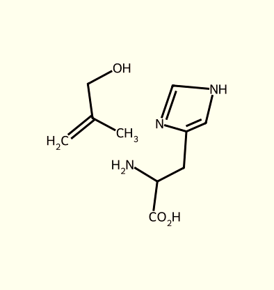 C=C(C)CO.NC(Cc1c[nH]cn1)C(=O)O